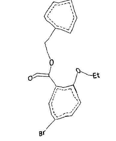 CCOc1ccc(Br)cc1C(=O)OCc1ccccc1